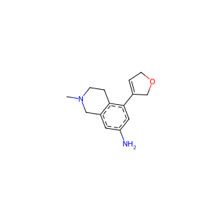 CN1CCc2c(cc(N)cc2C2=CCOC2)C1